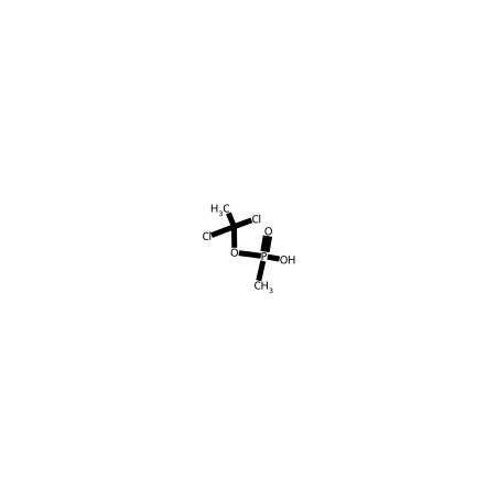 CC(Cl)(Cl)OP(C)(=O)O